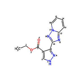 CCOC(=O)c1c[nH]nc1-c1nc2ccccn2n1